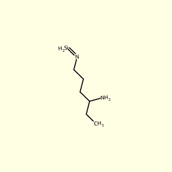 CCC(N)CCCN=[SiH2]